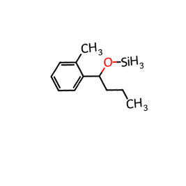 CCCC(O[SiH3])c1ccccc1C